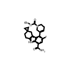 CC(C)(C)OC(=O)N1CCC=C(c2c(F)cc(C(N)=O)c3[nH]c4c(c23)CC2(CC4)CC2)C1